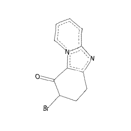 O=C1c2c(nc3ccccn23)CCC1Br